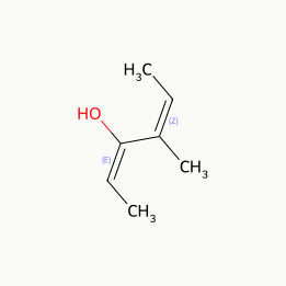 C/C=C(C)\C(O)=C/C